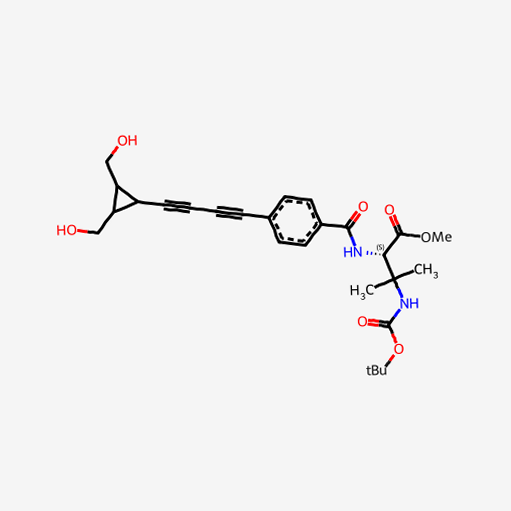 COC(=O)[C@@H](NC(=O)c1ccc(C#CC#CC2C(CO)C2CO)cc1)C(C)(C)NC(=O)OC(C)(C)C